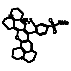 CNS(=O)(=O)c1ccc(C2=c3cc4c5c(c3Oc3c2cc2c6c3CCCN6CCC2)CCC[N+]=5CCC4)c(S(=O)(=O)O)c1